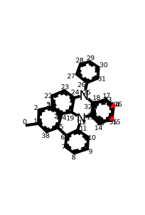 Cc1cccc(-c2ccccc2N(c2ccccc2)c2ccccc2N(c2ccccc2)c2ccccc2)c1